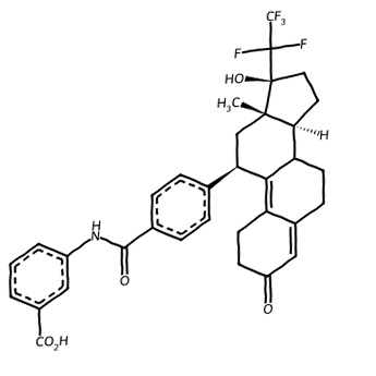 C[C@]12C[C@H](c3ccc(C(=O)Nc4cccc(C(=O)O)c4)cc3)C3=C4CCC(=O)C=C4CCC3[C@@H]1CC[C@@]2(O)C(F)(F)C(F)(F)F